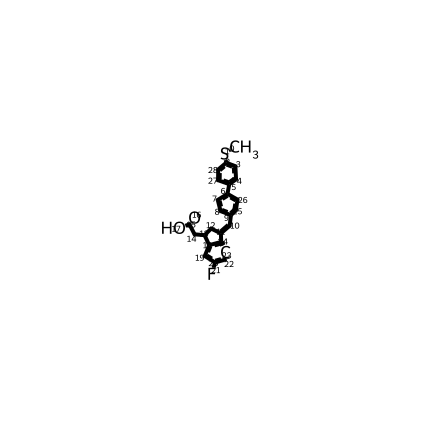 CSc1ccc(-c2ccc(/C=C3\CC(CC(=O)O)c4cc(F)ccc43)cc2)cc1